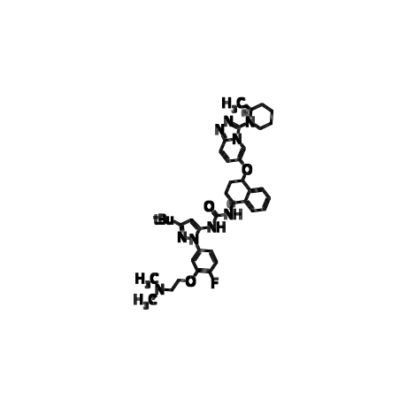 C[C@H]1CCCCN1c1nnc2ccc(OC3CC[C@H](NC(=O)Nc4cc(C(C)(C)C)nn4-c4ccc(F)c(OCCN(C)C)c4)c4ccccc43)cn12